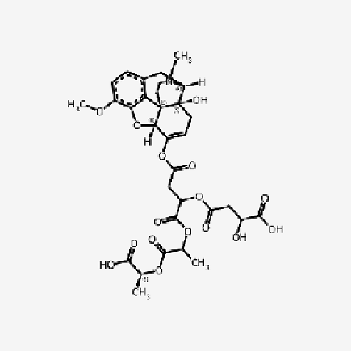 COc1ccc2c3c1O[C@H]1C(OC(=O)CC(OC(=O)CC(O)C(=O)O)C(=O)OC(C)C(=O)O[C@@H](C)C(=O)O)=CC[C@@]4(O)[C@@H](C2)N(C)CC[C@]314